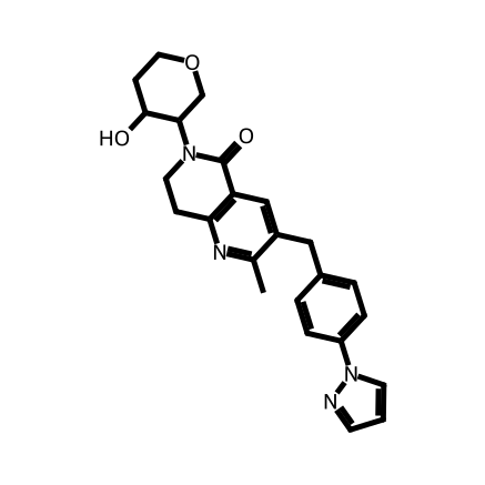 Cc1nc2c(cc1Cc1ccc(-n3cccn3)cc1)C(=O)N(C1COCCC1O)CC2